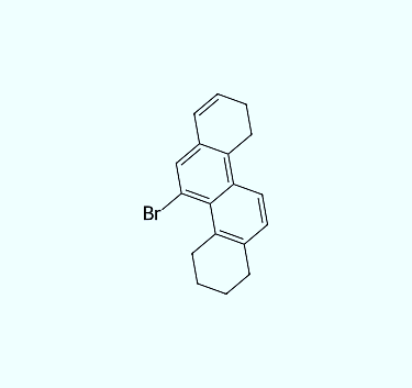 Brc1cc2c(c3ccc4c(c13)CCCC4)CCC=C2